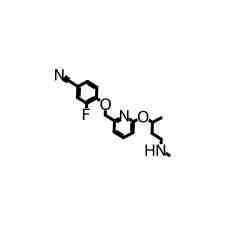 CNCCC(C)Oc1cccc(COc2ccc(C#N)cc2F)n1